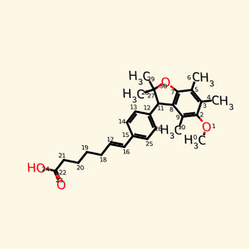 COc1c(C)c(C)c2c(c1C)C(c1ccc(C=CCCCCC(=O)O)cc1)C(C)(C)O2